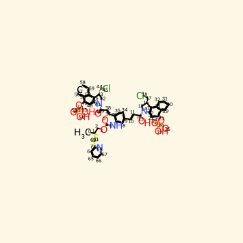 CC(COC(=O)Nc1cc(C=CC(=O)N2C[C@@H](CCl)c3c2cc(OP(=O)(O)O)c2ccccc32)ccc1C=CC(=O)N1C[C@@H](CCl)c2c1cc(OP(=O)(O)O)c1ccccc21)SSc1ccccn1